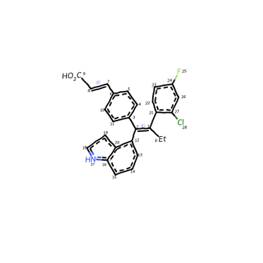 CC/C(=C(/c1ccc(/C=C/C(=O)O)cc1)c1cccc2[nH]ccc12)c1ccc(F)cc1Cl